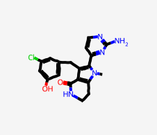 Cn1c2c(c(Cc3cc(O)cc(Cl)c3)c1-c1ccnc(N)n1)C(=O)NCC2